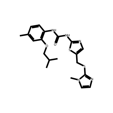 Cc1ccc(NC(=O)Nc2ncc(CSc3nccn3C)s2)c(OCC(C)C)c1